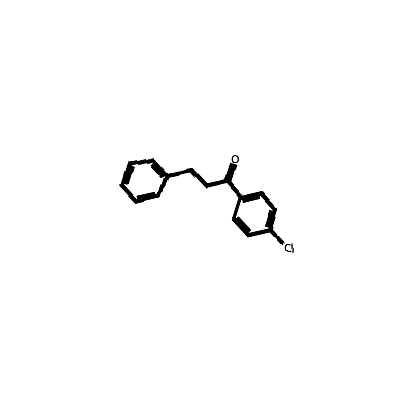 O=C([CH]Cc1ccccc1)c1ccc(Cl)cc1